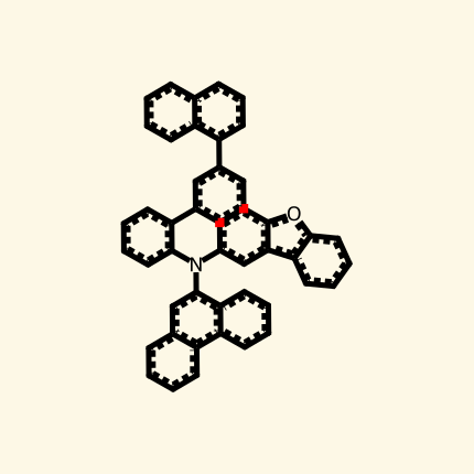 c1cc(-c2ccccc2N(c2ccc3oc4ccccc4c3c2)c2cc3ccccc3c3ccccc23)cc(-c2cccc3ccccc23)c1